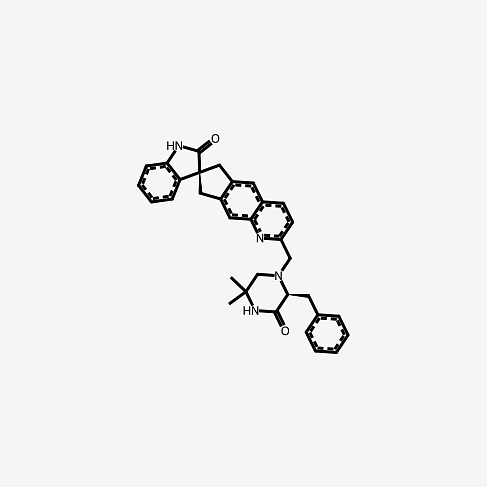 CC1(C)CN(Cc2ccc3cc4c(cc3n2)C[C@]2(C4)C(=O)Nc3ccccc32)[C@@H](Cc2ccccc2)C(=O)N1